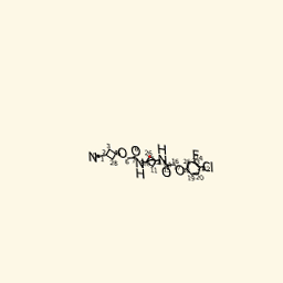 N#CC1CC(OCC(=O)NC23CC(NC(=O)COc4ccc(Cl)c(F)c4)(C2)C3)C1